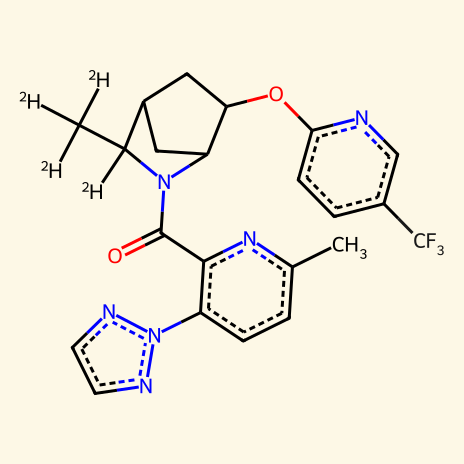 [2H]C([2H])([2H])C1([2H])C2CC(Oc3ccc(C(F)(F)F)cn3)C(C2)N1C(=O)c1nc(C)ccc1-n1nccn1